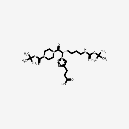 CC(C)(C)OC(=O)NCCCC[C@@H](C(=O)N1CCN(C(=O)OC(C)(C)C)CC1)n1cc(CCC(=O)O)nn1